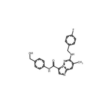 Cc1cc2ncc(C(=O)Nc3ccc(CO)cc3)n2nc1NCc1ccc(F)cc1